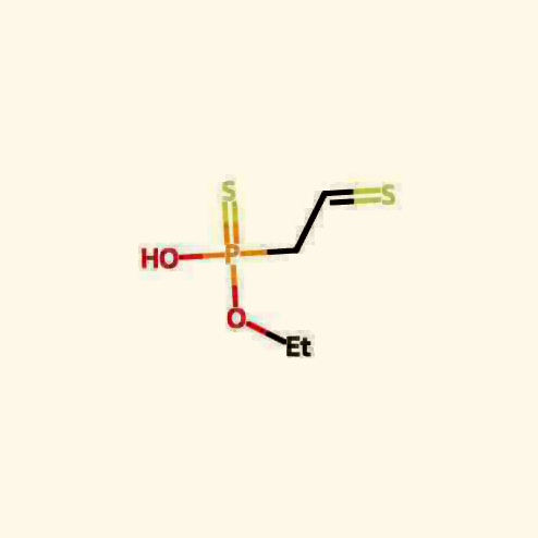 CCOP(O)(=S)CC=S